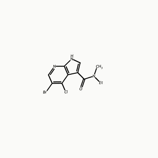 CCN(C)C(=O)c1c[nH]c2ncc(Br)c(Cl)c12